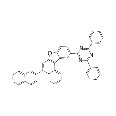 c1ccc(-c2nc(-c3ccccc3)nc(-c3ccc4oc5cc(-c6ccc7ccccc7c6)c6ccccc6c5c4c3)n2)cc1